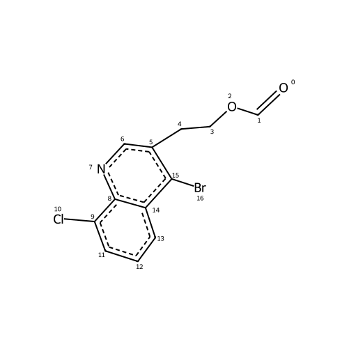 O=COCCc1cnc2c(Cl)cccc2c1Br